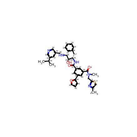 Cc1csc(CN(C)C(=O)c2cc(C(=O)N[C@@H](Cc3ccccc3)[C@H](O)CNCc3cncc(C(C)C)c3)cc(-c3ccco3)c2)n1